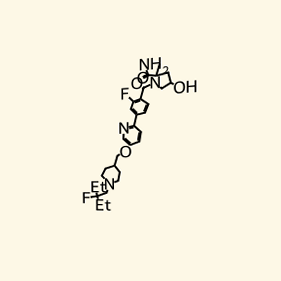 CCC(F)(CC)CN1CCC(COc2ccc(-c3ccc(C(=O)N4CC(O)CC4(C)C(N)=O)c(F)c3)nc2)CC1